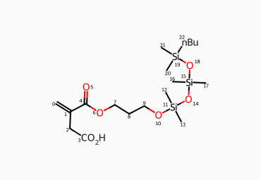 C=C(CC(=O)O)C(=O)OCCCO[Si](C)(C)O[Si](C)(C)O[Si](C)(C)CCCC